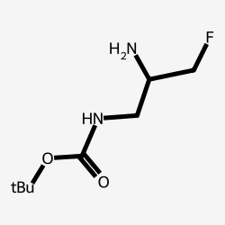 CC(C)(C)OC(=O)NCC(N)CF